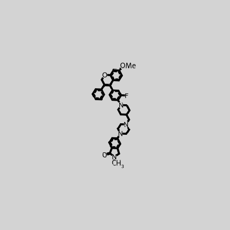 COc1ccc2c(c1)OCC(c1ccccc1)C2c1ccc(N2CCC(CN3CCN(c4ccc5c(c4)CN(C)C5=O)CC3)CC2)c(F)c1